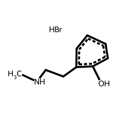 Br.CNCCc1ccccc1O